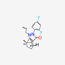 C=CCn1c2c(c(=O)n1-c1ccc(F)cc1F)[C@@H]1CC[C@@]2(C)C1(C)C